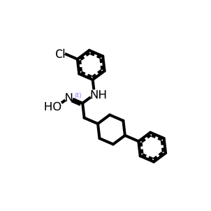 O/N=C(\CC1CCC(c2ccccc2)CC1)Nc1cccc(Cl)c1